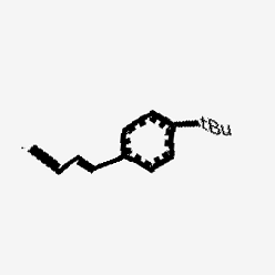 [CH]=CC=Cc1ccc(C(C)(C)C)cc1